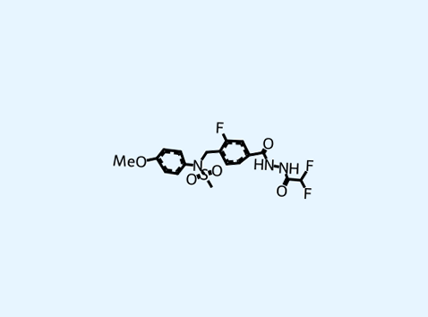 COc1ccc(N(Cc2ccc(C(=O)NNC(=O)C(F)F)cc2F)S(C)(=O)=O)cc1